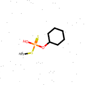 CCCSP(O)(=S)OC1CCCCC1